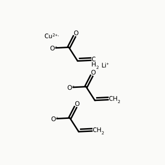 C=CC(=O)[O-].C=CC(=O)[O-].C=CC(=O)[O-].[Cu+2].[Li+]